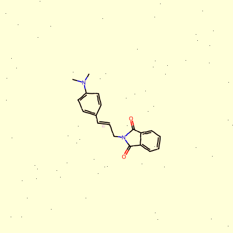 CN(C)c1ccc(/C=C/CN2C(=O)c3ccccc3C2=O)cc1